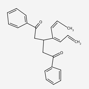 C=C/C=C(\C=C/C)C(CC(=O)c1ccccc1)CC(=O)c1ccccc1